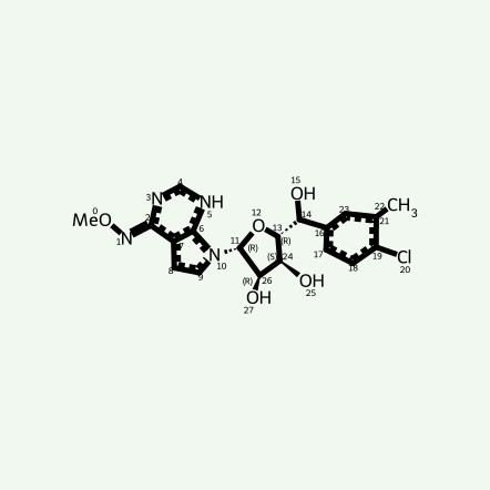 CON=c1nc[nH]c2c1ccn2[C@@H]1O[C@H](C(O)c2ccc(Cl)c(C)c2)[C@@H](O)[C@H]1O